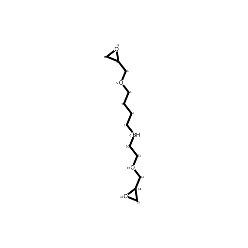 B(CCCCOCC1CO1)CCOCC1CO1